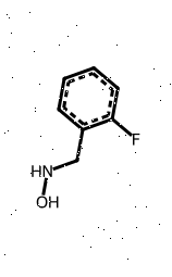 ONCc1ccccc1F